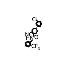 N#C[C@]1(C(=O)NCc2ccccc2C(F)(F)F)CC[C@@H](c2cccc(Cl)c2)CC1